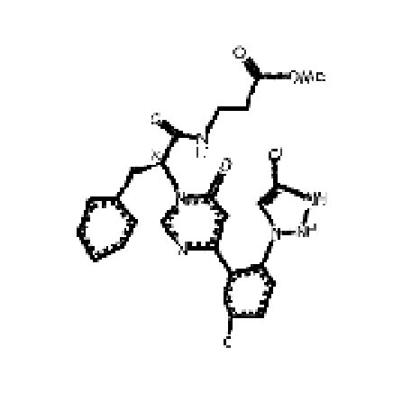 COC(=O)CCNC(=O)[C@H](Cc1ccccc1)n1cnc(-c2cc(Cl)ccc2N2C=C(Cl)NN2)cc1=O